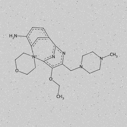 CCOc1c(CN2CCN(C)CC2)nc2nc1[N+]1(CCOCC1)c1cc-2ccc1N